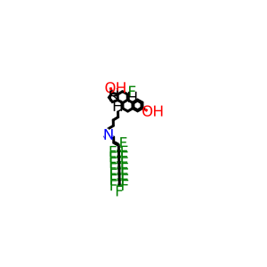 CN(C/C=C(\F)C(F)(F)C(F)(F)C(F)(F)C(F)(F)C(F)(F)C(F)(F)C(F)(F)F)CCCCC[C@@H]1Cc2cc(O)ccc2[C@@H]2[C@@H]1[C@@H]1CCC(O)[C@@]1(C)C[C@@H]2F